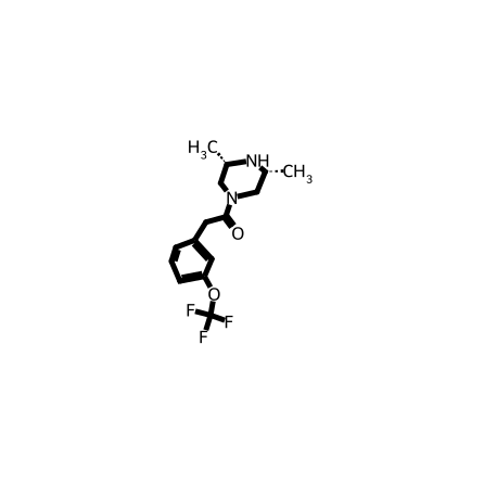 C[C@@H]1CN(C(=O)Cc2cccc(OC(F)(F)F)c2)C[C@H](C)N1